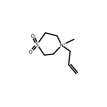 C=CC[N+]1(C)CCS(=O)(=O)CC1